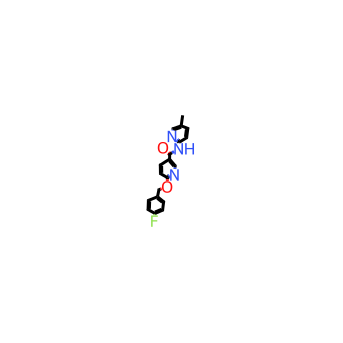 Cc1ccc(NC(=O)c2ccc(OCc3ccc(F)cc3)nc2)nc1